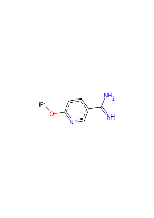 CC(C)Oc1ccc(C(=N)N)cn1